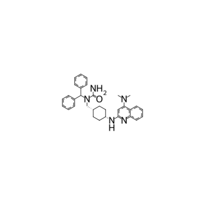 CN(C)c1cc(N[C@H]2CC[C@@H](CN(C(N)=O)C(c3ccccc3)c3ccccc3)CC2)nc2ccccc12